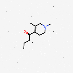 CCCC(=O)C1=C(C)CN(C)CC1